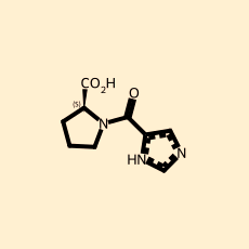 O=C(O)[C@@H]1CCCN1C(=O)c1cnc[nH]1